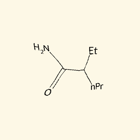 [CH2]CCC(CC)C(N)=O